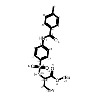 Cc1ccc(C(=O)Nc2ccc(S(=O)(=O)N[C@H](CC(C)C)C(=O)OC(C)(C)C)cc2)cc1